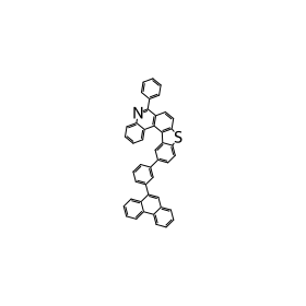 c1ccc(-c2nc3ccccc3c3c2ccc2sc4ccc(-c5cccc(-c6cc7ccccc7c7ccccc67)c5)cc4c23)cc1